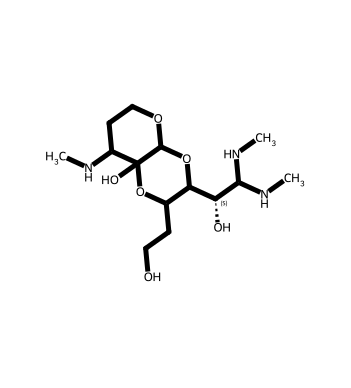 CNC(NC)[C@H](O)C1OC2OCCC(NC)C2(O)OC1CCO